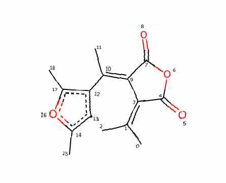 CC(C)=C1C(=O)OC(=O)/C1=C(\C)c1cc(C)oc1C